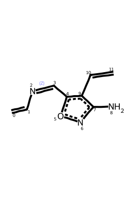 C=C/N=C\c1onc(N)c1C=C